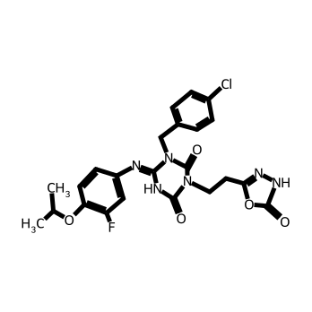 CC(C)Oc1ccc(/N=c2\[nH]c(=O)n(CCc3n[nH]c(=O)o3)c(=O)n2Cc2ccc(Cl)cc2)cc1F